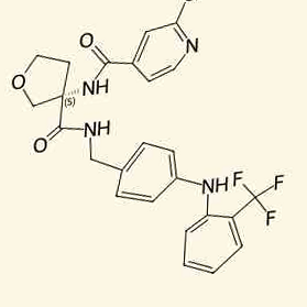 O=C(N[C@@]1(C(=O)NCc2ccc(Nc3ccccc3C(F)(F)F)cc2)CCOC1)c1ccnc(Cl)c1